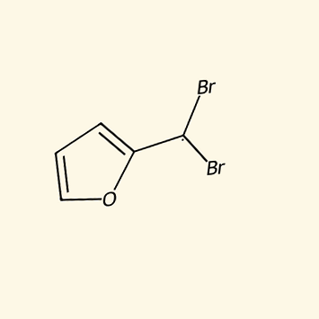 Br[C](Br)c1ccco1